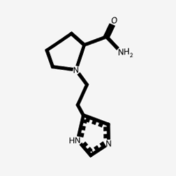 NC(=O)C1CCCN1CCc1cnc[nH]1